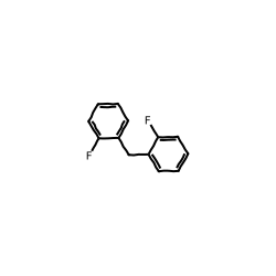 Fc1ccccc1Cc1ccccc1F